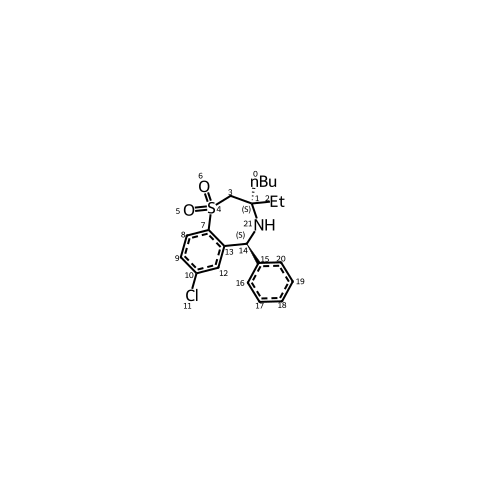 CCCC[C@@]1(CC)CS(=O)(=O)c2ccc(Cl)cc2[C@H](c2ccccc2)N1